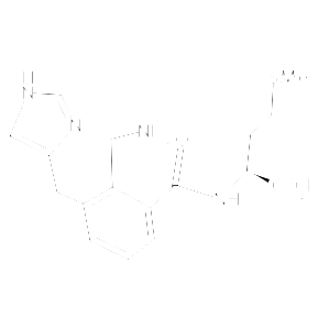 CSCC[C@H](NC(=O)c1cccc(Cc2c[nH]cn2)c1CN)C(=O)O